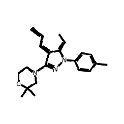 C=C/C=c1/c(N2CCOC(C)(C)C2)nn(-c2ccc(C)cc2)/c1=C/C